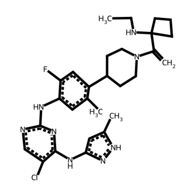 C=C(N1CCC(c2cc(F)c(Nc3ncc(Cl)c(Nc4cc(C)[nH]n4)n3)cc2C)CC1)C1(NCC)CCC1